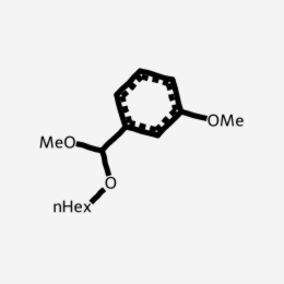 CCCCCCOC(OC)c1cccc(OC)c1